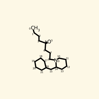 CCCCC(=O)CCCN1CCCCC1CC1CCCCC1